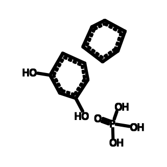 O=P(O)(O)O.Oc1cccc(O)c1.c1ccccc1